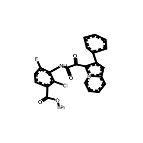 CCCOC(=O)c1ccc(F)c(NC(=O)C(=O)c2c(-c3ccccc3)cc3ccccn23)c1Cl